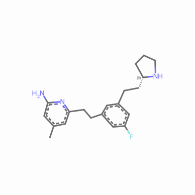 Cc1cc(N)nc(CCc2cc(F)cc(CC[C@@H]3CCCN3)c2)c1